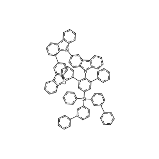 c1ccc(-c2cccc([Si](c3ccccc3)(c3cccc(-c4ccccc4)c3)c3cc(-c4ccccc4)c(-n4c5ccccc5c5cc(-n6c7ccccc7c7cccc(-c8ccc9oc%10ccccc%10c9c8)c76)ccc54)c(-c4ccccc4)c3)c2)cc1